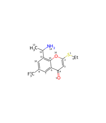 CCSc1cc(=O)c2cc(C(F)(F)F)cc(C(C)N)c2o1